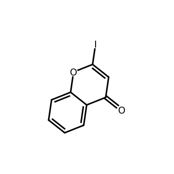 O=c1cc(I)oc2ccccc12